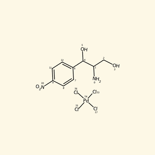 NC(CO)C(O)c1ccc([N+](=O)[O-])cc1.[Cl][Pd]([Cl])([Cl])[Cl]